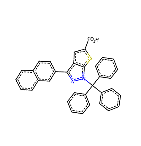 O=C(O)c1cc2c(-c3ccc4ccccc4c3)nn(C(c3ccccc3)(c3ccccc3)c3ccccc3)c2s1